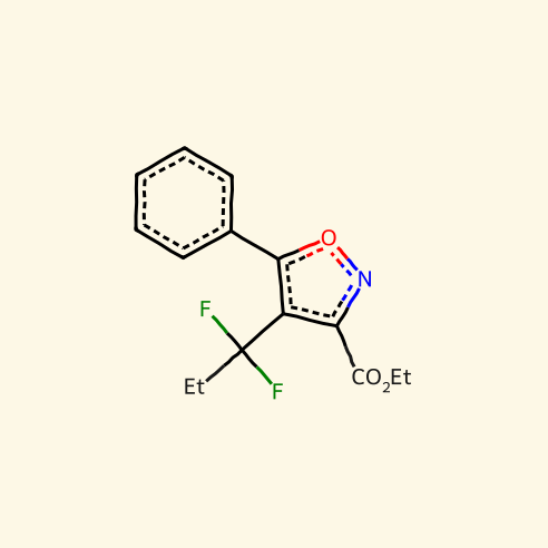 CCOC(=O)c1noc(-c2ccccc2)c1C(F)(F)CC